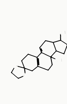 CC12CCC3=C(CCC4(C3)OCCO4)C1=CCC1C(O)CCC12